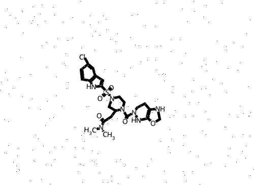 CN(C)C(=O)CC1CN(S(=O)(=O)c2cc3cc(Cl)ccc3[nH]2)CCN1C(=O)N1CCC2=C(N1)OCN2